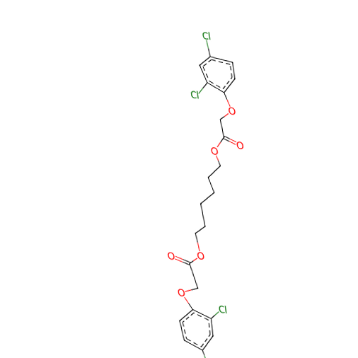 O=C(COc1ccc(Cl)cc1Cl)OCCCCCCOC(=O)COc1ccc(Cl)cc1Cl